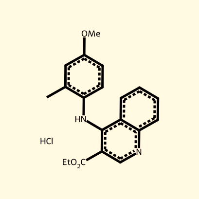 CCOC(=O)c1cnc2ccccc2c1Nc1ccc(OC)cc1C.Cl